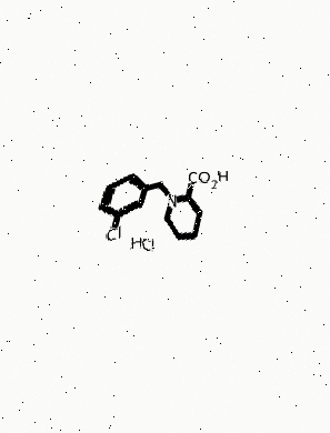 Cl.O=C(O)C1CCCCN1Cc1cccc(Cl)c1